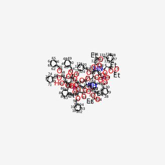 CCC(=O)O[C@H](CC)CC(=O)NC1[C@@H](OP(=O)(OCc2ccccc2)OCc2ccccc2)OC(CO[C@@H]2OC(CO[C@]3(C(=O)OCc4ccccc4)C[C@@H](O)[C@@H](O)C([C@@H](COCc4ccccc4)OCc4ccccc4)O3)[C@@H](OP3(=O)OCc4ccccc4CO3)[C@H](OC(=O)C[C@@H](CC)OCc3ccccc3)C2NC(=O)C[C@@H](CC)OC(=O)CC)[C@@H](OCc2ccccc2)[C@@H]1OC(=O)C[C@@H](CC)OCc1ccccc1